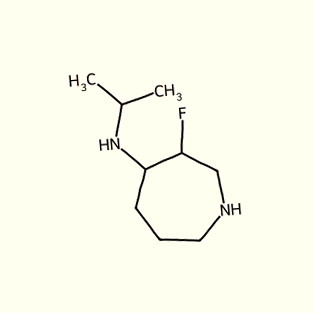 CC(C)NC1CCCNCC1F